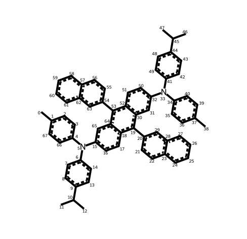 Cc1ccc(N(c2ccc(C(C)C)cc2)c2ccc3c(-c4ccc5ccccc5c4)c4cc(N(c5ccc(C)cc5)c5ccc(C(C)C)cc5)ccc4c(-c4ccc5ccccc5c4)c3c2)cc1